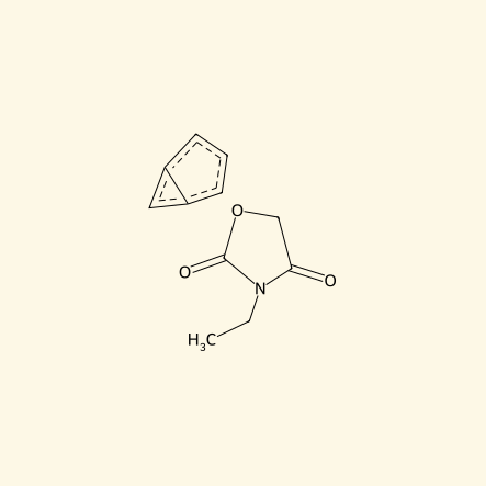 CCN1C(=O)COC1=O.c1cc2cc-2c1